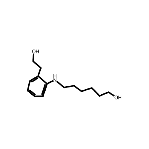 OCCCCCCNc1ccccc1CCO